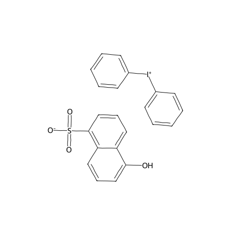 O=S(=O)([O-])c1cccc2c(O)cccc12.c1ccc([I+]c2ccccc2)cc1